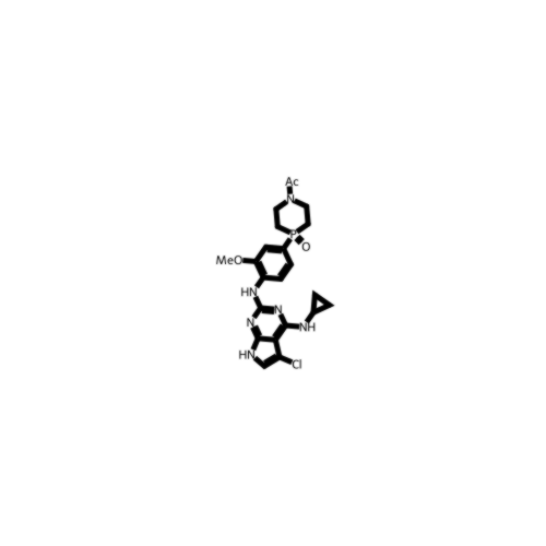 COc1cc(P2(=O)CCN(C(C)=O)CC2)ccc1Nc1nc(NC2CC2)c2c(Cl)c[nH]c2n1